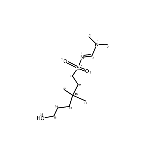 CN(C)/C=N/S(=O)(=O)CCC(C)(C)CCCO